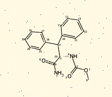 COC(=O)N[C@H](C(N)=O)C(c1ccccc1)c1ccccc1